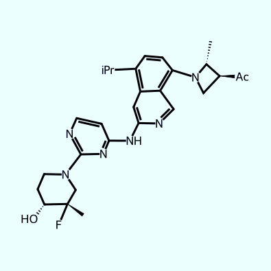 CC(=O)[C@H]1CN(c2ccc(C(C)C)c3cc(Nc4ccnc(N5CC[C@@H](O)[C@@](C)(F)C5)n4)ncc23)[C@@H]1C